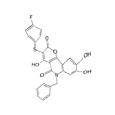 O=c1oc2c(c(O)c1Sc1ccc(F)cc1)c(=O)n(Cc1ccccc1)c1cc(O)c(O)cc21